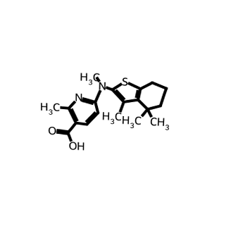 Cc1nc(N(C)c2sc3c(c2C)C(C)(C)CCC3)ccc1C(=O)O